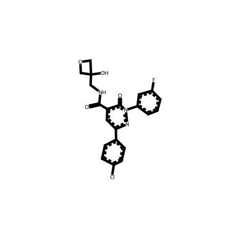 O=C(NCC1(O)COC1)c1cc(-c2ccc(Cl)cc2)nn(-c2cccc(F)c2)c1=O